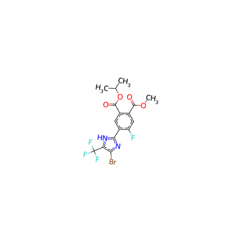 COC(=O)c1cc(F)c(-c2nc(Br)c(C(F)(F)F)[nH]2)cc1C(=O)OC(C)C